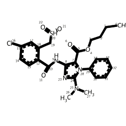 CCCCOC(=O)c1c(NC(=O)c2ccc(Cl)cc2C[SH](=O)=O)nc(N(C)C)n1-c1ccccc1